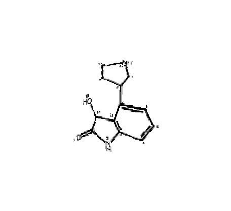 O=C1Nc2cccc(C3CCNC3)c2C1O